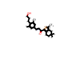 CCc1cc(/C=C/C(=O)c2sc(C(F)(F)F)c3c2CCC(C)(C)C3)cc(C)c1CCCO